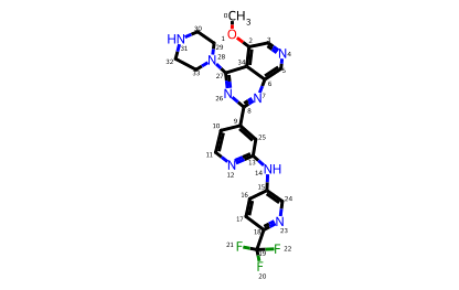 COc1cncc2nc(-c3ccnc(Nc4ccc(C(F)(F)F)nc4)c3)nc(N3CCNCC3)c12